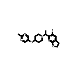 Cc1ncc(OC2CCN(C(C)c3nc4c(cc3F)CCO4)CC2)cn1